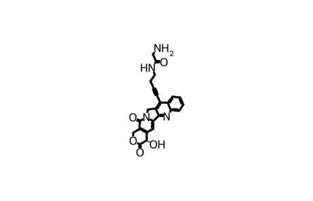 NCC(=O)NCCC#Cc1c2c(nc3ccccc13)-c1cc3c(c(=O)n1C2)COC(=O)[C@H]3O